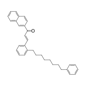 O=C(C=Cc1ccccc1CCCCCCCCc1ccccc1)c1ccc2ccccc2c1